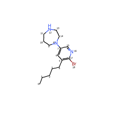 CCCCCc1cc(N2CCCNCC2)cnc1Br